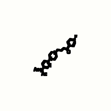 CC(=O)N(C(C)=O)c1ccc(N2CCN(CCCC(=O)c3ccc(F)cc3)CC2)nc1